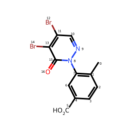 Cc1ccc(C(=O)O)cc1-n1ncc(Br)c(Br)c1=O